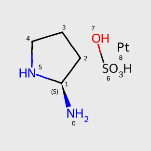 N[C@@H]1CCCN1.O=S(=O)(O)O.[Pt]